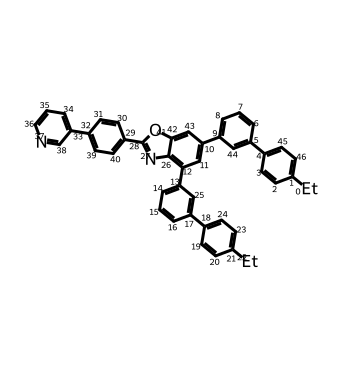 CCc1ccc(-c2cccc(-c3cc(-c4cccc(-c5ccc(CC)cc5)c4)c4nc(-c5ccc(-c6cccnc6)cc5)oc4c3)c2)cc1